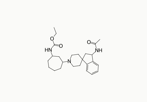 CCOC(=O)NC1CCCCC(N2CCC3(CC2)CC(NC(C)=O)c2ccccc23)C1